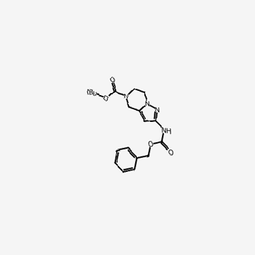 CC(C)(C)OC(=O)N1CCn2nc(NC(=O)OCc3ccccc3)cc2C1